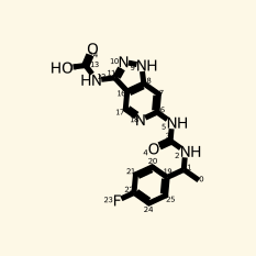 CC(NC(=O)Nc1cc2[nH]nc(NC(=O)O)c2cn1)c1ccc(F)cc1